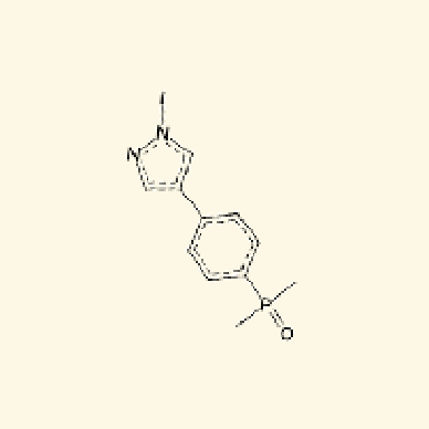 CP(C)(=O)c1ccc(-c2cnn(I)c2)cc1